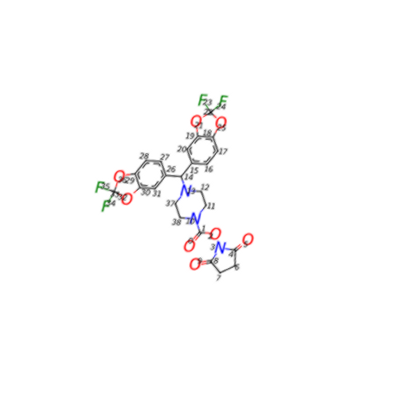 O=C(ON1C(=O)CCC1=O)N1CCN(C(c2ccc3c(c2)OC(F)(F)O3)c2ccc3c(c2)OC(F)(F)O3)CC1